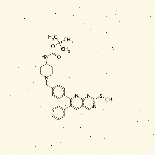 CSc1ncc2cc(-c3ccccc3)c(-c3ccc(CN4CCC(NC(=O)OC(C)(C)C)CC4)cc3)nc2n1